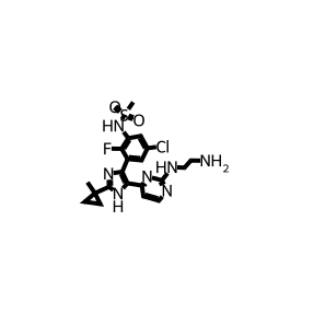 CC1(c2nc(-c3cc(Cl)cc(NS(C)(=O)=O)c3F)c(-c3ccnc(NCCN)n3)[nH]2)CC1